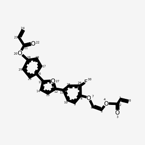 C=CC(=O)O/C=C\Oc1ccc(-c2ccc(-c3ccc(OC(=O)C=C)cc3)o2)cc1F